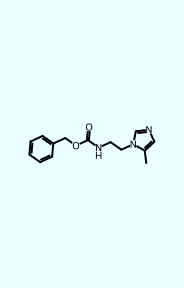 Cc1cncn1CCNC(=O)OCc1ccccc1